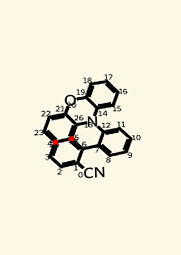 N#Cc1ccccc1-c1ccccc1N1c2ccccc2Oc2ccccc21